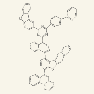 c1ccc(-c2ccc(-c3nc(-c4ccc5oc6ccccc6c5c4)nc(-c4ccc(-c5ccc(-c6cc7ccccc7c7ccccc67)c6oc7cc8ccccc8cc7c56)c5ccccc45)n3)cc2)cc1